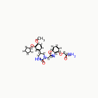 COc1ccc(C2CNC(=O)N(Cc3nc4c(OCC(N)=O)cccc4o3)C2)cc1OC1CCCC1